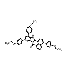 CCOc1ccc(-c2cc(-c3ccc(OCC)cc3)c3c(c2)N2C(=O)c4cccc5c(-c6ccc(OCC)cc6)ccc(c45)C2N3)cc1